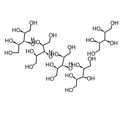 OC[C@@H](O)[C@H](O)[C@@H](O)CO.OC[C@@H](O)[C@H](O)[C@@H](O)CO.OC[C@@H](O)[C@H](O)[C@@H](O)CO.OC[C@@H](O)[C@H](O)[C@@H](O)CO.OC[C@@H](O)[C@H](O)[C@@H](O)CO